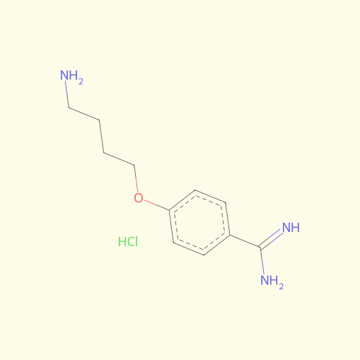 Cl.N=C(N)c1ccc(OCCCCN)cc1